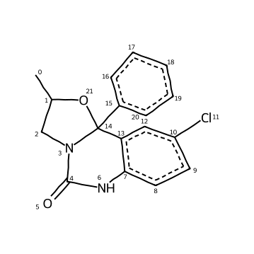 CC1CN2C(=O)Nc3ccc(Cl)cc3C2(c2ccccc2)O1